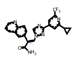 NC(=O)/C(=C/n1cnc(-c2cc(C3CC3)nc(C(F)(F)F)c2)n1)c1ccc2ncccc2c1